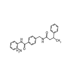 CC(CC(=O)NCc1ccc(C(=O)Nc2ccccc2N)cc1)c1ccccc1